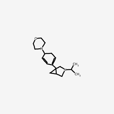 CC(C)N1CC2CC2(C2=CCC(N3CCOCC3)C=C2)C1